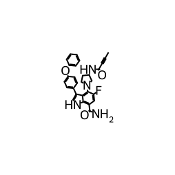 CC#CC(=O)N[C@H]1CCN(c2c(F)cc(C(N)=O)c3[nH]cc(-c4ccc(Oc5ccccc5)cc4)c23)C1